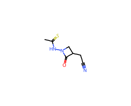 CC(=S)NN1CC(CC#N)C1=O